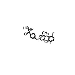 C[C@@H]1CN(Cc2ccc(C(=O)NO)cc2)C[C@H](C)N1Cc1ccccc1F